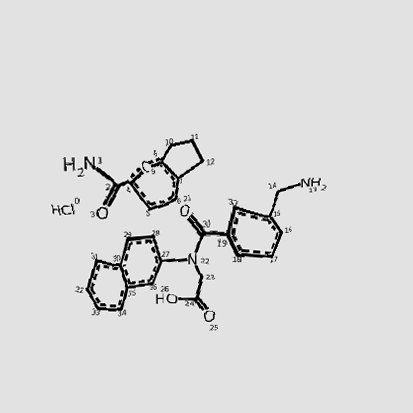 Cl.NC(=O)c1ccc2c(c1)CCC2.NCc1cccc(C(=O)N(CC(=O)O)c2ccc3ccccc3c2)c1